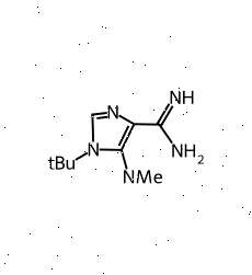 CNc1c(C(=N)N)ncn1C(C)(C)C